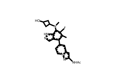 CC(=O)Nc1cc2cc(-c3c(C)c(F)c(N(C)C4CC(O)C4)c4[nH]ncc34)ccn2n1